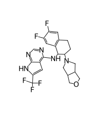 Fc1cc2c(cc1F)C(Nc1ncnc3[nH]c(C(F)(F)F)cc13)C(N1CC3COCC3C1)CC2